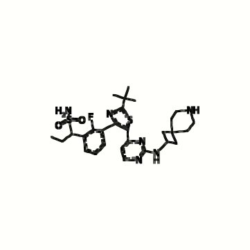 CCC(c1cccc(-c2nc(C(C)(C)C)sc2-c2ccnc(NC3CC4(CCNCC4)C3)n2)c1F)S(N)(=O)=O